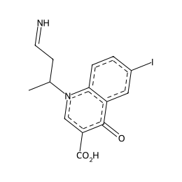 CC(CC=N)n1cc(C(=O)O)c(=O)c2cc(I)ccc21